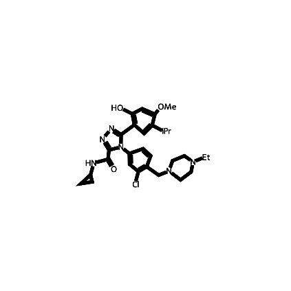 CCN1CCN(Cc2ccc(-n3c(C(=O)NC4CC4)nnc3-c3cc(C(C)C)c(OC)cc3O)cc2Cl)CC1